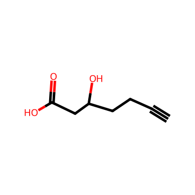 C#CCCC(O)CC(=O)O